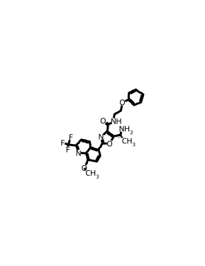 COc1ccc(-c2nc(C(=O)NCCOc3ccccc3)c([C@H](C)N)o2)c2ccc(C(F)(F)F)nc12